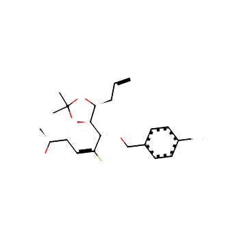 C=CC[C@@H]1OC(C)(C)O[C@@H]1[C@H](OCc1ccc(OC)cc1)/C(F)=C\[C@@H](C)[C@H](C)O